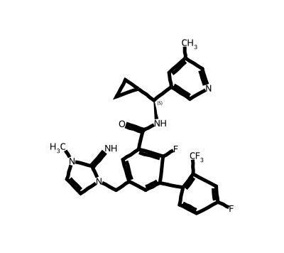 Cc1cncc([C@@H](NC(=O)c2cc(Cn3ccn(C)c3=N)cc(-c3ccc(F)cc3C(F)(F)F)c2F)C2CC2)c1